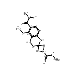 CCN(CC)C(=O)c1ccc2c(c1CO)OCC1(CN(C(=O)OC(C)(C)C)C1)O2